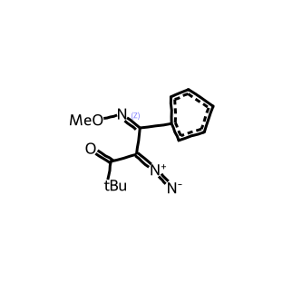 CO/N=C(\C(=[N+]=[N-])C(=O)C(C)(C)C)c1ccccc1